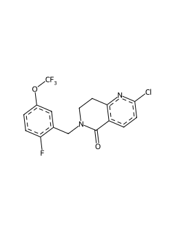 O=C1c2ccc(Cl)nc2CCN1Cc1cc(OC(F)(F)F)ccc1F